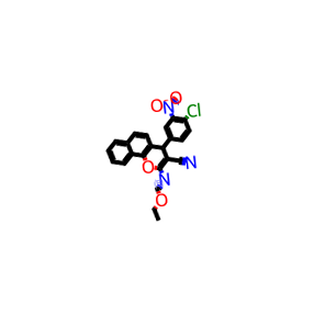 CCO/C=N/C1=C(C#N)C(c2ccc(Cl)c([N+](=O)[O-])c2)c2ccc3ccccc3c2O1